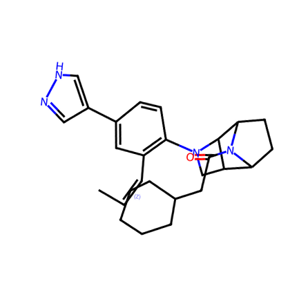 C/C=C\c1cc(-c2cn[nH]c2)ccc1N1CC2C1C1CCC2N1C(=O)CC1CCCCC1